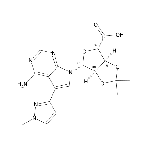 Cn1ccc(-c2cn([C@@H]3O[C@H](C(=O)O)[C@H]4OC(C)(C)O[C@H]43)c3ncnc(N)c23)n1